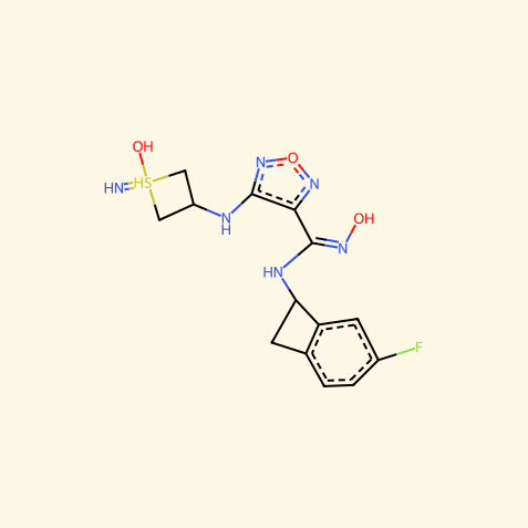 N=[SH]1(O)CC(Nc2nonc2C(=NO)NC2Cc3ccc(F)cc32)C1